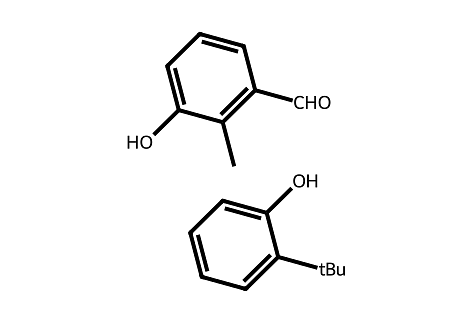 CC(C)(C)c1ccccc1O.Cc1c(O)cccc1C=O